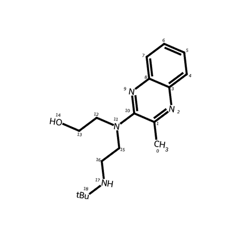 Cc1nc2ccccc2nc1N(CCO)CCNC(C)(C)C